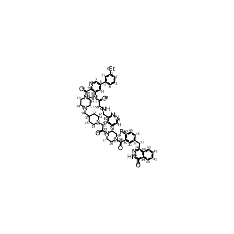 CCc1cccc(-c2cnc(C(=O)N3CCN(CC4CCN(CC(=O)N5CCN(C(=O)c6cc(Cc7n[nH]c(=O)c8ccccc78)ccc6F)CC5)CC4)CC3)c(NC(=O)CNCc3cccnn3)c2)c1